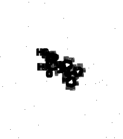 CCN(C(=O)[C@@H](CC(=O)NC(c1ccccc1)(c1ccccc1)c1ccccc1)NC(=O)OC(C)(C)C)c1cccc(O)c1